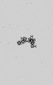 Br.O=c1[nH]c(=O)n(CCCCN2CC=C(c3ccccc3)CC2)c2cc(O)ccc12